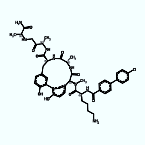 C[C@H](NCC(=O)[C@H](C)NC(=O)[C@@H]1Cc2ccc(O)c(c2)-c2cc(ccc2O)[C@H](N(C)C(=O)[C@H](CCCCN)NC(=O)c2ccc(-c3ccc(Cl)cc3)cc2)C(=O)N[C@@H](C)C(=O)N1)C(N)=O